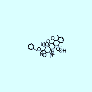 Cc1cccc2c1C(=O)C1=C(C[C@H]3[C@H](N(C)C)c4onc(OCc5ccccc5)c4C(=O)[C@@]3(O)C1=O)[C@]2(C)OO